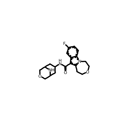 O=C(NC1CC2COCC(C1)N2)c1c2n(c3ccc(F)cc13)CCOCC2